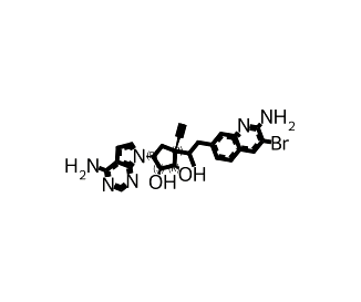 C#C[C@]1(C(C)Cc2ccc3cc(Br)c(N)nc3c2)C[C@@H](n2ccc3c(N)ncnc32)[C@H](O)[C@@H]1O